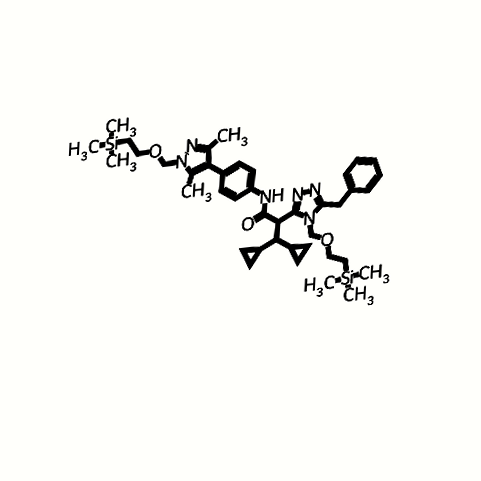 Cc1nn(COCC[Si](C)(C)C)c(C)c1-c1ccc(NC(=O)C(c2nnc(Cc3ccccc3)n2COCC[Si](C)(C)C)C(C2CC2)C2CC2)cc1